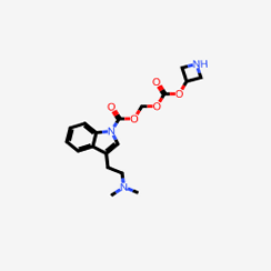 CN(C)CCc1cn(C(=O)OCOC(=O)OC2CNC2)c2ccccc12